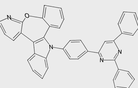 c1ccc(-c2cc(-c3ccc(-n4c5c(c6ccccc64)-c4cccnc4Oc4ccccc4-5)cc3)nc(-c3ccccc3)n2)cc1